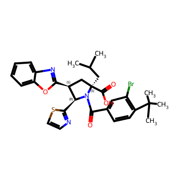 CC(C)C[C@@]1(C(=O)O)C[C@H](c2nc3ccccc3o2)[C@H](c2nccs2)N1C(=O)c1ccc(C(C)(C)C)c(Br)c1